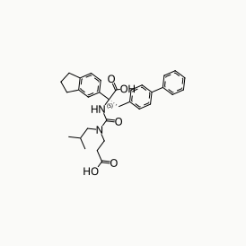 CC(C)CN(CCC(=O)O)C(=O)N[C@](Cc1ccc(-c2ccccc2)cc1)(C(=O)O)c1ccc2c(c1)CCC2